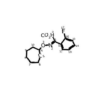 O=C(O)/C(=N\OC1CCCCCC1)c1ccccc1F